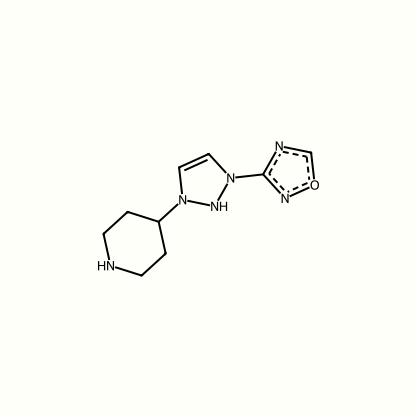 C1=CN(C2CCNCC2)NN1c1ncon1